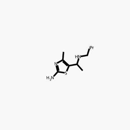 Cc1nc(N)sc1C(C)NCC(C)C